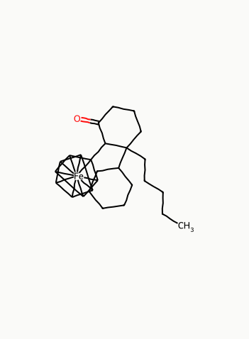 CCCCCC1(C2CCCCC2)CCCC(=O)C1[C]12[CH]3[CH]4[CH]5[CH]1[Fe]45321678[CH]2[CH]1[CH]6[CH]7[CH]28